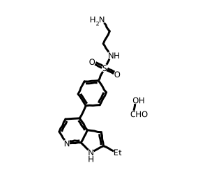 CCc1cc2c(-c3ccc(S(=O)(=O)NCCN)cc3)ccnc2[nH]1.O=CO